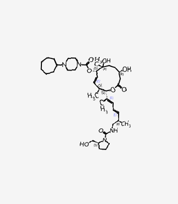 C/C(=C\C=C\[C@@H](C)CNC(=O)N1CCC[C@H]1CO)[C@H]1OC(=O)C[C@H](O)CC[C@@](C)(O)[C@@H](OC(=O)N2CCN(C3CCCCCC3)CC2)/C=C/[C@@H]1C